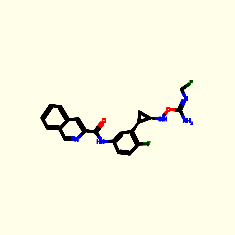 N/C(=N/CF)ON[C@@H]1C[C@@H]1c1cc(NC(=O)c2cc3ccccc3cn2)ccc1F